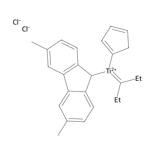 CC[C](CC)=[Ti+2]([C]1=CC=CC1)[CH]1c2ccc(C)cc2-c2cc(C)ccc21.[Cl-].[Cl-]